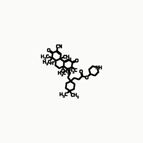 CC1C(=O)C=C2[C@@]3(C)C=C(C#N)C(=O)C(C)(C)[C@@H]3CC[C@@]2(C)[C@]1(C)CCC1(CCC(=O)OC2CCNCC2)CCC(C)(C)CC1